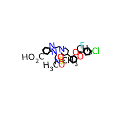 CN(CCn1c(CN2CCC(c3cccc4c3OC(C)(c3ccc(Cl)cc3F)O4)CC2)nc2ccc(C(=O)O)cc21)S(C)(=O)=O